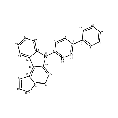 c1ccc(-c2ccc(-n3c4ccccc4c4c5ccsc5ccc43)nn2)cc1